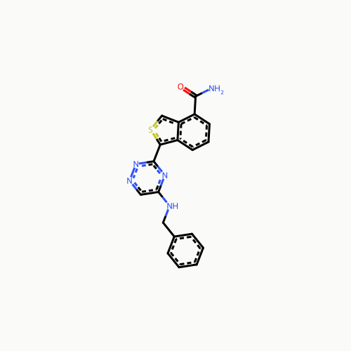 NC(=O)c1cccc2c(-c3nncc(NCc4ccccc4)n3)scc12